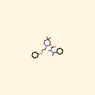 CC(NC(=O)[C@H]1CC(C)(C)CCN1CCOc1ccccc1)c1ccccc1